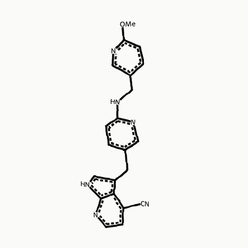 COc1ccc(CNc2ccc(Cc3c[nH]c4nccc(C#N)c34)cn2)cn1